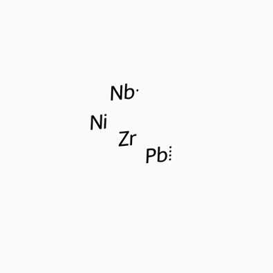 [Nb].[Ni].[Pb].[Zr]